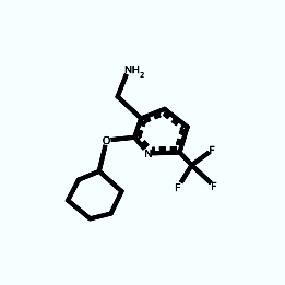 NCc1ccc(C(F)(F)F)nc1OC1CCCCC1